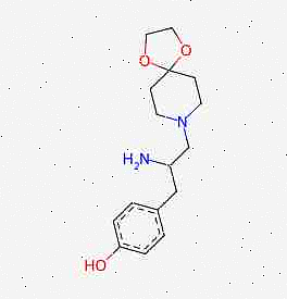 NC(Cc1ccc(O)cc1)CN1CCC2(CC1)OCCO2